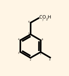 Cc1cccc([CH]C(=O)O)c1